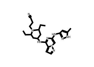 CCC1CC(Nc2nc(Nc3cc(C)[nH]n3)cn3nccc23)CC(CC)N1CCC#N